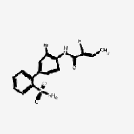 CC=C(F)C(=O)Nc1ccc(-c2ccccc2S(N)(=O)=O)cc1Br